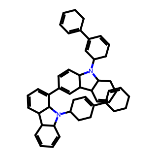 C1=CCCC(C2=CC(N3C4C=CC(C5=CC=CC6C7C=CC=CC7N(C7CC=C(C8C=CCCC8)CC7)C56)=CC4C4C=CCCC43)CC=C2)=C1